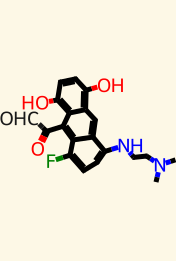 CN(C)CCNc1ccc(F)c2c(C(=O)C=O)c3c(O)ccc(O)c3cc12